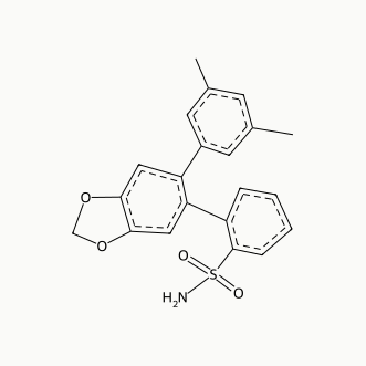 Cc1cc(C)cc(-c2cc3c(cc2-c2ccccc2S(N)(=O)=O)OCO3)c1